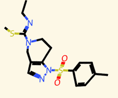 CC/N=C(\SC)N1CCc2c(cnn2S(=O)(=O)c2ccc(C)cc2)C1